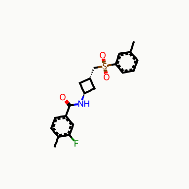 Cc1cccc(S(=O)(=O)C[C@H]2C[C@H](NC(=O)c3ccc(C)c(F)c3)C2)c1